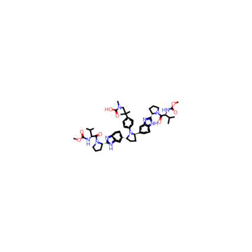 COC(=O)N[C@H](C(=O)N1CCC[C@H]1c1nc2cc([C@H]3CC[C@H](c4ccc5nc([C@@H]6CCCN6C(=O)[C@@H](NC(=O)OC)C(C)C)[nH]c5c4)N3c3ccc(C(C)(C)CN(C)C(=O)O)cc3)ccc2[nH]1)C(C)C